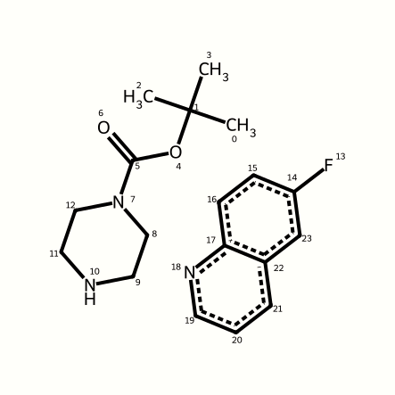 CC(C)(C)OC(=O)N1CCNCC1.Fc1ccc2ncccc2c1